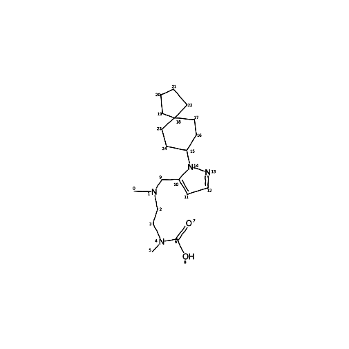 CN(CCN(C)C(=O)O)Cc1ccnn1C1CCC2(CCCC2)CC1